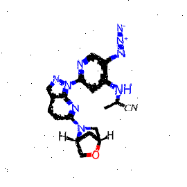 CC(C#N)Nc1cc(-n2ncc3ccc(N4C[C@H]5C[C@@H]4CO5)nc32)ncc1N=[N+]=[N-]